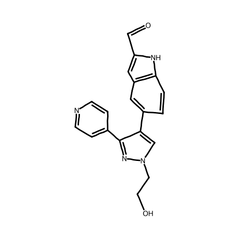 O=Cc1cc2cc(-c3cn(CCO)nc3-c3ccncc3)ccc2[nH]1